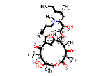 C#CCCN(C)[C@@H](C[C@@H](C)CCC)[C@@H](O)[C@@H](C)O[C@@H]1[C@@H](C)C(=O)[C@@H](C)C(=O)O[C@H](I)[C@@](C)(O)[C@H](O)[C@@H](C)C(=O)[C@@H]2CO[C@]1(C)C2